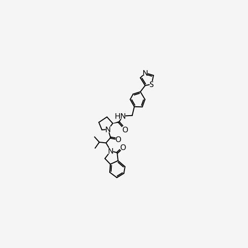 CC(C)C(C(=O)N1CCC[C@H]1C(=O)NCc1ccc(-c2cncs2)cc1)N1Cc2ccccc2C1=O